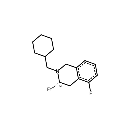 CC[C@H]1Cc2c(F)cccc2CN1CC1CCCCC1